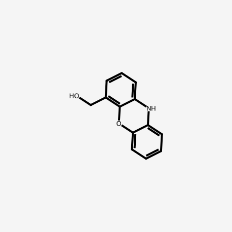 OCc1cccc2c1Oc1ccccc1N2